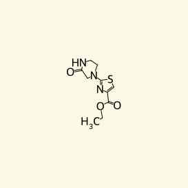 CCOC(=O)c1csc(N2CCNC(=O)C2)n1